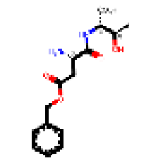 C[C@@H](O)[C@H](NC(=O)[C@@H](N)CC(=O)OCc1ccccc1)C(=O)O